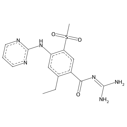 CCc1cc(Nc2ncccn2)c(S(C)(=O)=O)cc1C(=O)N=C(N)N